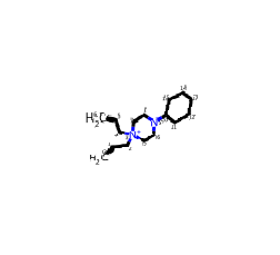 C=CC[N+]1(CC=C)CCN(C2CCCCC2)CC1